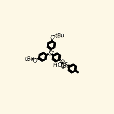 CC(C)(C)Oc1ccc([S+](c2ccc(OC(C)(C)C)cc2)c2ccc(OC(C)(C)C)cc2)cc1.Cc1ccc(S(=O)(=O)O)cc1